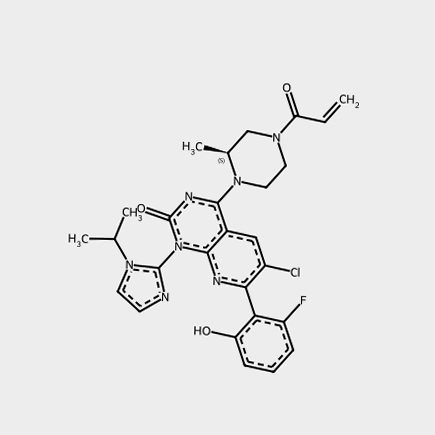 C=CC(=O)N1CCN(c2nc(=O)n(-c3nccn3C(C)C)c3nc(-c4c(O)cccc4F)c(Cl)cc23)[C@@H](C)C1